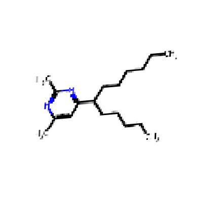 CCCCCCC(CCCCC)c1cc(C)nc(C)n1